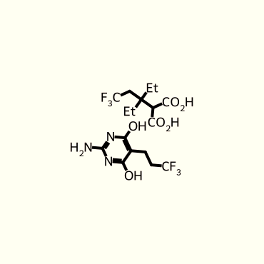 CCC(CC)(CC(F)(F)F)C(C(=O)O)C(=O)O.Nc1nc(O)c(CCC(F)(F)F)c(O)n1